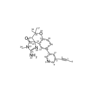 CC#Cc1cncc(-c2ccc3c(c2)C2(CC(C)(C)O3)N=C(N)N(C)C2=O)c1